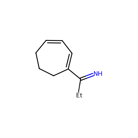 CCC(=N)C1=CC=CCCC1